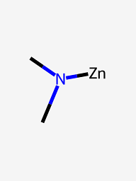 C[N](C)[Zn]